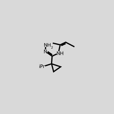 C/C=C(/C)N/C(=N\N)C1(C(C)C)CC1